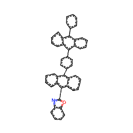 c1ccc(-c2c3ccccc3c(-c3ccc(-c4c5ccccc5c(-c5nc6ccccc6o5)c5ccccc45)cc3)c3ccccc23)cc1